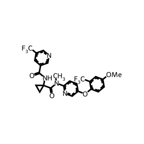 COc1ccc(Oc2ccc(N(C)C(=O)C3(NC(=O)c4cncc(C(F)(F)F)c4)CC3)nc2)c(C(F)(F)F)c1